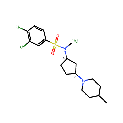 CC1CCN([C@H]2CC[C@@H](N(C)S(=O)(=O)c3ccc(Cl)c(Cl)c3)C2)CC1.Cl